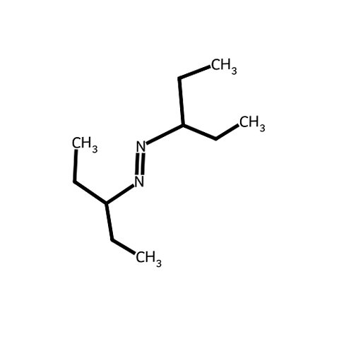 CCC(CC)N=NC(CC)CC